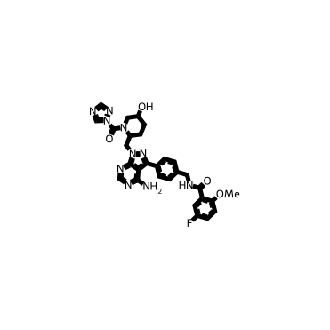 COc1ccc(F)cc1C(=O)NCc1ccc(-c2nn(CC3CCC(O)CN3C(=O)n3cncn3)c3ncnc(N)c23)cc1